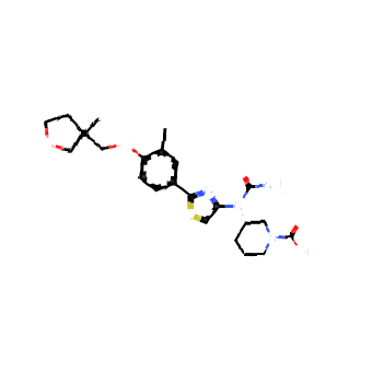 Cc1cc(-c2nc(N(C(N)=O)[C@H]3CCCN(C(=O)O)C3)cs2)ccc1OCC1(C)CCOC1